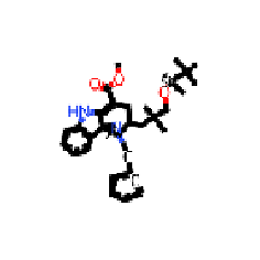 COC(=O)C1=C2Nc3ccccc3C23CCN(Cc2ccccc2)C3C(CC(C)(C)CO[Si](C)(C)C(C)(C)C)C1